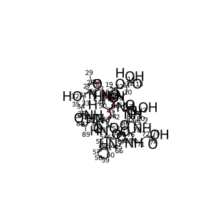 CC(C)C[C@H](NC(=O)[C@@H](N)CCC(=O)O)C(=O)N[C@@H](CC(=O)O)C(=O)N[C@@H](CC(C)C)[C@@H](O)C[C@@H](C)C(=O)NC(C(=O)N[C@@H](Cc1ccccc1)C(=O)N[C@@H](Cc1ccccc1)C(=O)N[C@@H](C)C(=O)N[C@@H](CCC(=O)O)C(=O)N[C@@H](CC(=O)O)C(N)=O)C(C)C